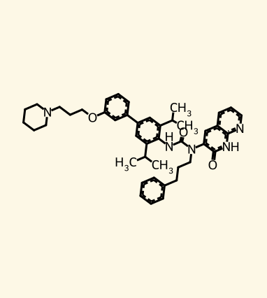 CC(C)c1cc(-c2cccc(OCCCN3CCCCC3)c2)cc(C(C)C)c1NC(=O)N(CCCc1ccccc1)c1cc2cccnc2[nH]c1=O